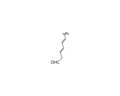 CCCC=CC=CCC=O